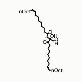 CCCCCCCC/C=C\CCCCCCCC(=O)[CH]C(O)(CO)C(=O)CCCCCCC/C=C\CCCCCCCC